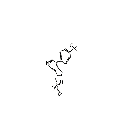 O=S(=O)(NC1CCc2c(-c3ccc(C(F)(F)F)cc3)cncc21)C1CC1